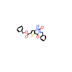 O=C(OCc1ccccc1)c1cc2[nH]c(=O)n(Cc3ccccc3)c(=O)c2s1